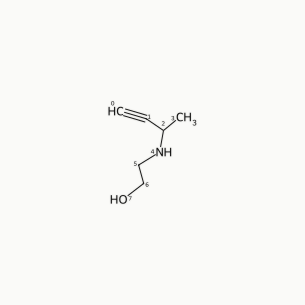 C#CC(C)NCCO